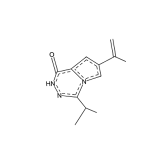 C=C(C)c1cc2c(=O)[nH]nc(C(C)C)n2c1